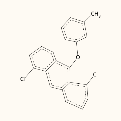 Cc1cccc(Oc2c3cccc(Cl)c3cc3cccc(Cl)c23)c1